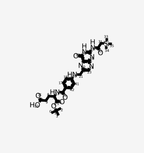 CC(C)(C)OC(=O)C(CCC(=O)O)NC(=O)c1ccc(NCc2cnc3nc(NC(=O)C[Si](C)(C)C)[nH]c(=O)c3n2)cc1